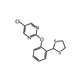 Clc1cnc(Oc2ccccc2C2SCCS2)nc1